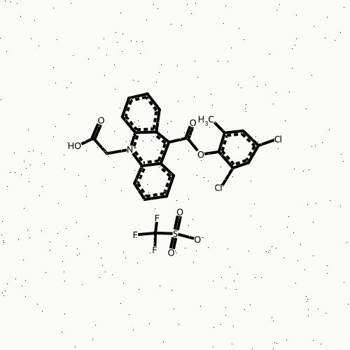 Cc1cc(Cl)cc(Cl)c1OC(=O)c1c2ccccc2[n+](CC(=O)O)c2ccccc12.O=S(=O)([O-])C(F)(F)F